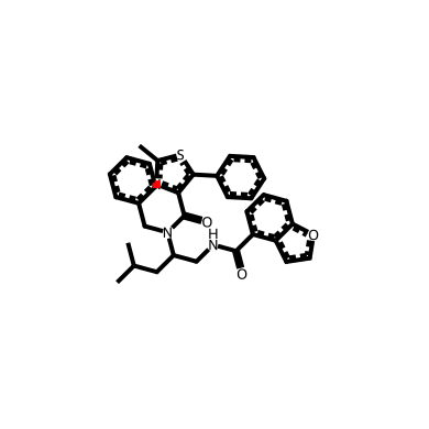 Cc1nc(C(=O)N(Cc2ccccc2)C(CNC(=O)c2cccc3occc23)CC(C)C)c(-c2ccccc2)s1